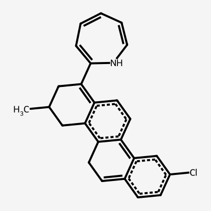 CC1CC(C2=CC=CC=CN2)=c2ccc3c(c2C1)CC=c1ccc(Cl)cc1=3